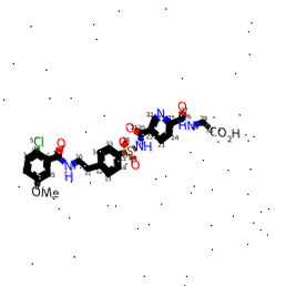 COc1ccc(Cl)c(C(=O)NCCc2ccc(S(=O)(=O)NC(=O)c3ccc(C(=O)NCC(=O)O)nc3)cc2)c1